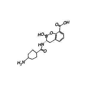 NC1CCC(C(=O)N[C@H]2Cc3cccc(C(=O)O)c3OB2O)CC1